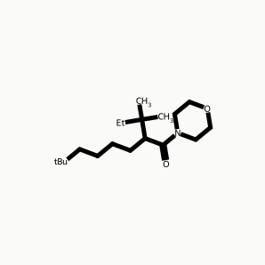 CCC(C)(C)C(CCCCC(C)(C)C)C(=O)N1CCOCC1